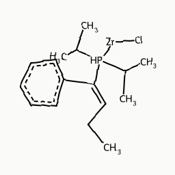 CCC=C(c1ccccc1)[PH]([Zr][Cl])(C(C)C)C(C)C